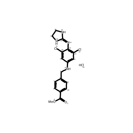 COC(=O)c1ccc(CNc2cc(Cl)c(N=C3NCCN3)c(Cl)c2)cc1.Cl